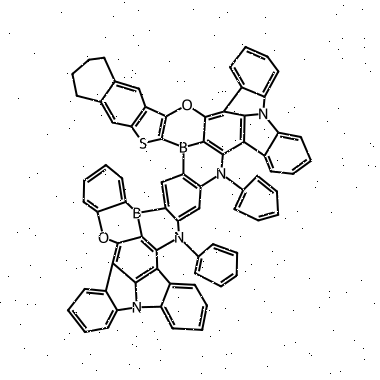 c1ccc(N2c3cc4c(cc3B3c5ccccc5Oc5c3c2c2c3ccccc3n3c6ccccc6c5c23)B2c3sc5cc6c(cc5c3Oc3c2c(c2c5ccccc5n5c7ccccc7c3c25)N4c2ccccc2)CCCC6)cc1